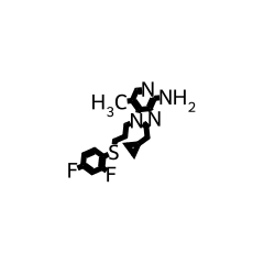 Cc1cnc(N)c2nc(CC3CC3)n(CCCSc3ccc(F)cc3F)c12